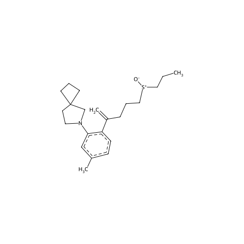 C=C(CCC[S+]([O-])CCC)c1ccc(C)cc1N1CCC2(CCC2)C1